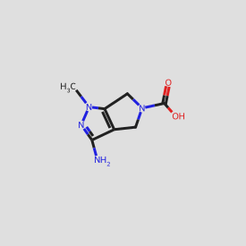 Cn1nc(N)c2c1CN(C(=O)O)C2